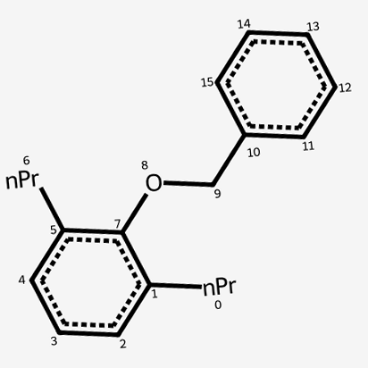 CCCc1cccc(CCC)c1OCc1ccccc1